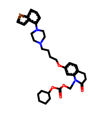 O=C(OCN1C(=O)CCc2ccc(OCCCCN3CCN(c4cccc5sccc45)CC3)cc21)OC1CCCCC1